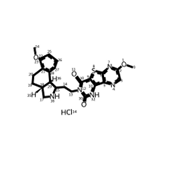 COc1cnc2c(n1)sc1c(=O)n(CCC3NC[C@@H]4CCc5c(OC)cccc5[C@H]34)c(=O)[nH]c12.Cl